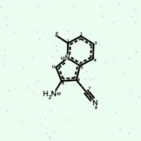 Cc1cccc2c(C#N)c(N)cn12